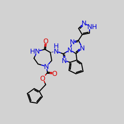 O=C1NCCN(C(=O)OCc2ccccc2)C[C@H]1Nc1nc2ccccc2c2nc(-c3cn[nH]c3)nn12